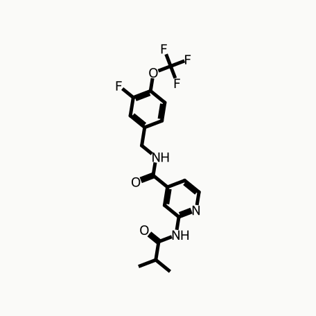 CC(C)C(=O)Nc1cc(C(=O)NCc2ccc(OC(F)(F)F)c(F)c2)ccn1